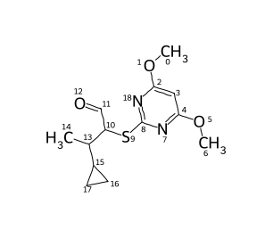 COc1cc(OC)nc(SC(C=O)C(C)C2CC2)n1